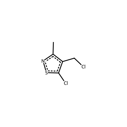 Cc1nsc(Cl)c1CCl